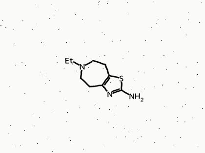 CCN1CCc2nc(N)sc2CC1